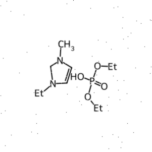 CCN1C=CN(C)C1.CCOP(=O)(O)OCC